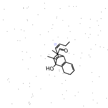 CC/C=C\C1=C(C)C2(O)CC(C)(C=O)C1C1=C2CCC=C1